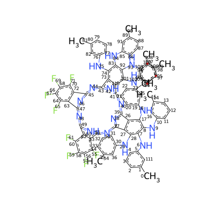 Cc1cccc(Nc2c(Nc3cccc(C)c3)c(Nc3cccc(C)c3)c3c(c2Nc2cccc(C)c2)-c2nc-3nc3[nH]c(nc4nc(nc5[nH]c(n2)c2c(F)c(F)c(F)c(F)c52)-c2c(F)c(F)c(F)c(F)c2-4)c2c(Nc4cccc(C)c4)c(Nc4cccc(C)c4)c(Nc4cccc(C)c4)c(Nc4cccc(C)c4)c32)c1